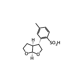 Cc1ccc(S(=O)(=O)O)c([C@@H]2CO[C@H]3OCC[C@H]32)c1